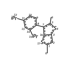 Cc1cc2sc(C)c(-c3ccc(C(C)C)cc3C(C)C)c2s1